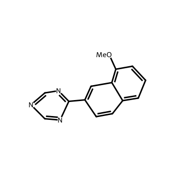 COc1cccc2ccc(-c3ncncn3)cc12